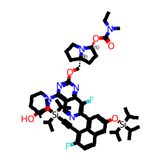 CCN(C)C(=O)O[C@H]1CC[C@@]2(COc3nc(N4CCC[C@@](C)(O)C4)c4cnc(-c5cc(O[Si](C(C)C)(C(C)C)C(C)C)cc6ccc(F)c(C#C[Si](C(C)C)(C(C)C)C(C)C)c56)c(F)c4n3)CCCN12